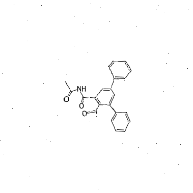 CC(=O)NC(=O)c1cc(-c2ccccc2)cc(-c2ccccc2)c1I=O